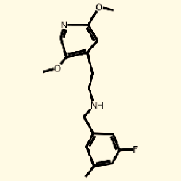 COc1cc(CCNCc2cc(C)cc(F)c2)c(OC)cn1